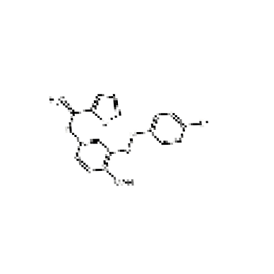 C=C(Nc1ccc(OC)c(SNc2ccc(Br)cc2)c1)c1cnco1